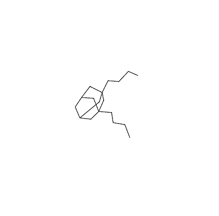 CCCCC12CC3CC(C1)CC(CCCC)(C3)C2